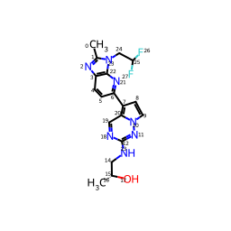 Cc1nc2ccc(-c3ccn4nc(NC[C@@H](C)O)ncc34)nc2n1CC(F)F